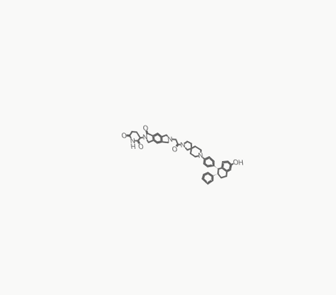 O=C1CCC(N2Cc3cc4c(cc3C2=O)CN(CC(=O)N2CCC3(CCN(c5ccc([C@@H]6c7ccc(O)cc7CC[C@@H]6c6ccccc6)cc5)CC3)C2)C4)C(=O)N1